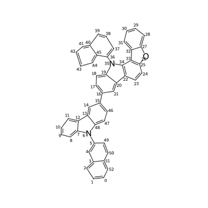 c1ccc2cc(-n3c4ccccc4c4cc(-c5ccc6c(c5)c5ccc7oc8ccccc8c7c5n6-c5cccc6ccccc56)ccc43)ccc2c1